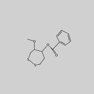 COC1CSSCCC1OC(=O)c1ccccc1